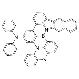 c1ccc(N(c2ccccc2)c2cc3c4c(c2)N2c5ccccc5Sc5cccc(c52)B4n2c4cc5ccccc5cc4c4cccc-3c42)cc1